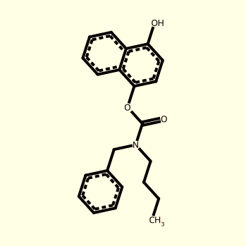 CCCCN(Cc1ccccc1)C(=O)Oc1ccc(O)c2ccccc12